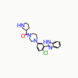 O=C(C1CCCNC1)N1CCCN(c2ccc(Cl)c(-c3nc4ccccc4[nH]3)c2)CC1